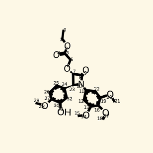 CCOC(=O)CO[C@H]1C(=O)N(c2cc(OC)c(OC)c(OC)c2)[C@H]1c1ccc(OC)c(O)c1